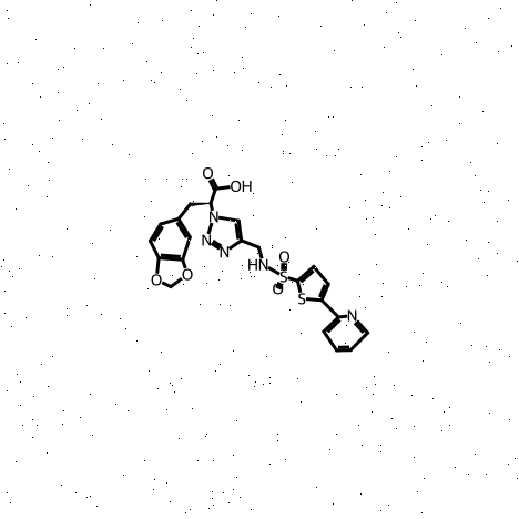 O=C(O)[C@H](Cc1ccc2c(c1)OCO2)n1cc(CNS(=O)(=O)c2ccc(-c3ccccn3)s2)nn1